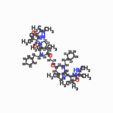 CN[C@@H](C)C(=O)NC(C(=O)N1CC[C@@]2(C)C[C@@H](OCCO[C@H]3CN(CCc4ccccc4)C[C@@]45C=C(C(NC(=O)[C@H](C)NC)C(C)C)N4CC[C@@]5(C)C3)CN(CCc3ccccc3)C[C@@]12C)C(C)C